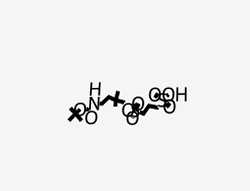 CC(C)(CCNC(=O)OC(C)(C)C)COS(=O)(=O)CCCS(=O)(=O)O